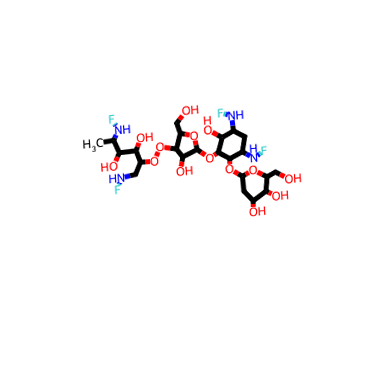 CC(NF)C(O)C(O)C(CNF)OOC1C(CO)OC(OC2C(O)C(NF)CC(NF)C2OC2CC(O)C(O)C(CO)O2)C1O